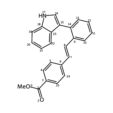 COC(=O)c1ccc(C=Cc2ccccc2-c2c[nH]c3ccccc23)cc1